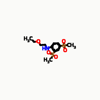 CCOCCNc1ccc(S(C)(=O)=O)cc1S(C)(=O)=O